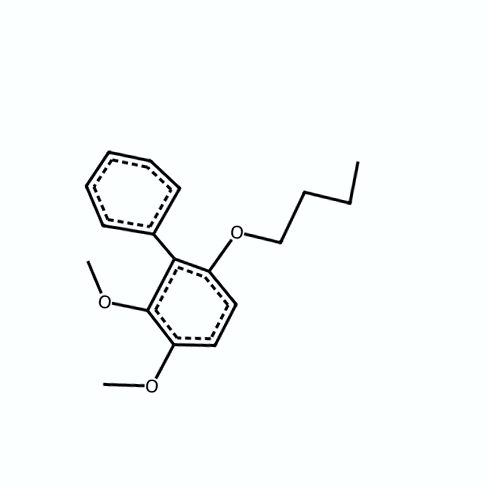 CCCCOc1ccc(OC)c(OC)c1-c1ccccc1